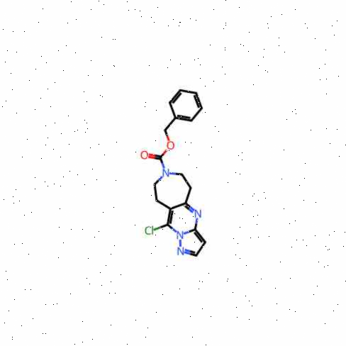 O=C(OCc1ccccc1)N1CCc2nc3ccnn3c(Cl)c2CC1